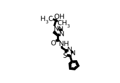 CC(C)(O)Cn1cc(C(=O)NCc2nnc(-c3ccccc3)s2)nn1